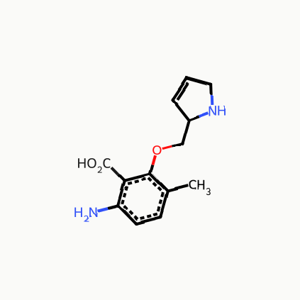 Cc1ccc(N)c(C(=O)O)c1OCC1C=CCN1